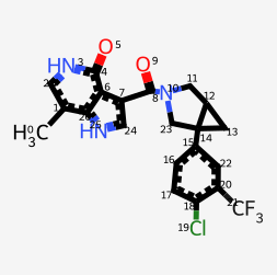 Cc1c[nH]c(=O)c2c(C(=O)N3CC4CC4(c4ccc(Cl)c(C(F)(F)F)c4)C3)c[nH]c12